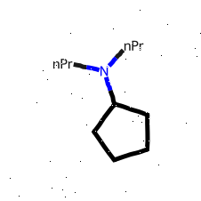 CCCN(CCC)[C]1CCCC1